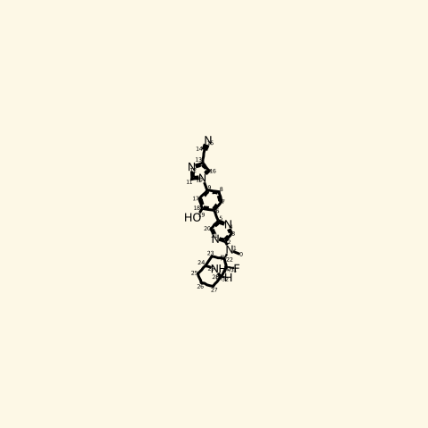 CN(c1cnc(-c2ccc(-n3cnc(C#N)c3)cc2O)cn1)[C@@H]1CC2CCC[C@H](N2)[C@@H]1F